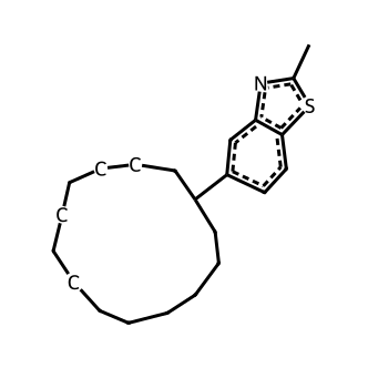 Cc1nc2cc(C3CCCCCCCCCCCCC3)ccc2s1